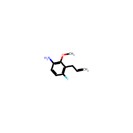 C=CCc1c(F)ccc(N)c1OC